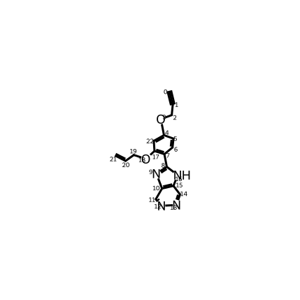 C#CCOc1ccc(-c2nc3cnncc3[nH]2)c(OCC=C)c1